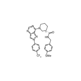 CSc1ccc(CNC(=O)[C@H]2CCCN(c3ncnc4cn(-c5ccc(C(F)(F)F)cc5)nc34)C2)cc1